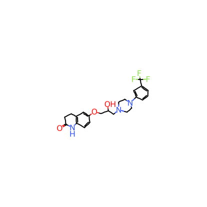 O=C1CCc2cc(OCC(O)CN3CCN(c4cccc(C(F)(F)F)c4)CC3)ccc2N1